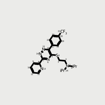 CC(C)N(CCSc1nc(-c2ccccn2)nnc1-c1ccc(C(F)(F)F)cc1)C(C)C